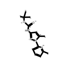 Cc1cccc(-n2nc(NC(=O)OC(C)(C)C)cc2C)n1